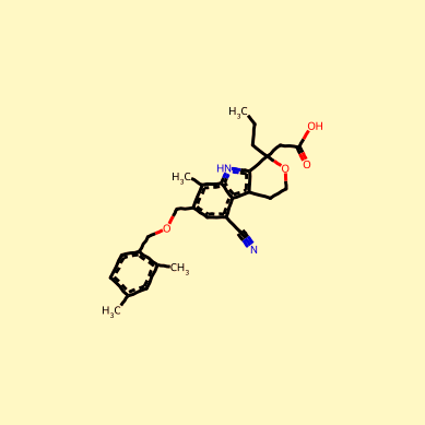 CCCC1(CC(=O)O)OCCc2c1[nH]c1c(C)c(COCc3ccc(C)cc3C)cc(C#N)c21